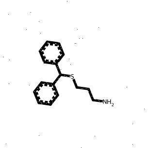 NCCCSC(c1ccccc1)c1ccccc1